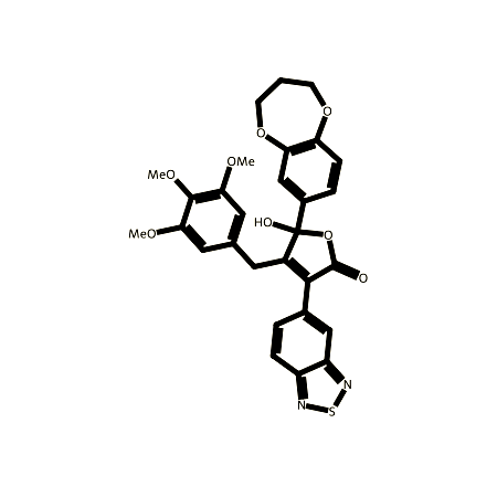 COc1cc(CC2=C(c3ccc4nsnc4c3)C(=O)OC2(O)c2ccc3c(c2)OCCCO3)cc(OC)c1OC